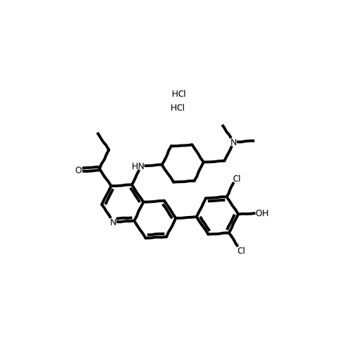 CCC(=O)c1cnc2ccc(-c3cc(Cl)c(O)c(Cl)c3)cc2c1NC1CCC(CN(C)C)CC1.Cl.Cl